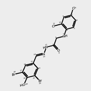 O=C(CNc1ccc(Cl)cc1Cl)NN=Cc1cc(Br)c(O)c(Br)c1